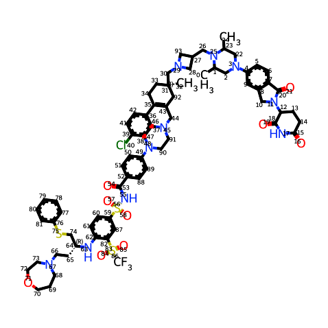 CC1CN(c2ccc3c(c2)CN(C2CCC(=O)NC2=O)C3=O)CC(C)N1CC1CN(C[C@]2(C)CCC(c3ccc(Cl)cc3)=C(CN3CCN(c4ccc(C(=O)NS(=O)(=O)c5ccc(N[C@H](CCN6CCCOCC6)CSc6ccccc6)c(S(=O)(=O)C(F)(F)F)c5)cc4)CC3)C2)C1